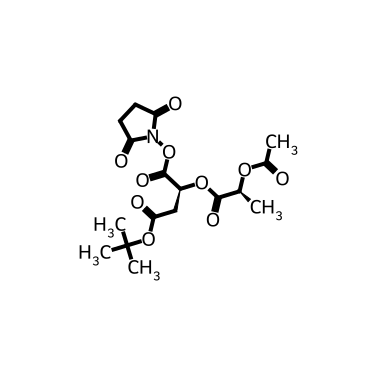 CC(=O)O[C@@H](C)C(=O)O[C@@H](CC(=O)OC(C)(C)C)C(=O)ON1C(=O)CCC1=O